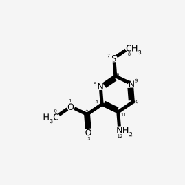 COC(=O)c1nc(SC)ncc1N